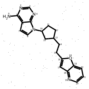 Nc1ncnc2c1ccn2C1CCC(CCc2cc3ncccc3o2)C1